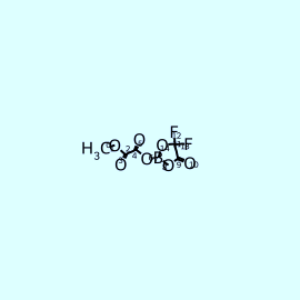 COC(=O)C(=O)OB1OC(=O)C(F)(F)O1